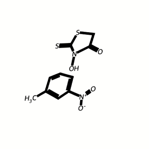 Cc1cccc([N+](=O)[O-])c1.O=C1CSC(=S)N1O